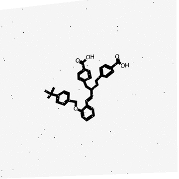 CC(C)(C)c1ccc(COc2ccccc2C=CC(CCc2ccc(C(=O)O)cc2)Cc2ccc(C(=O)O)cc2)cc1